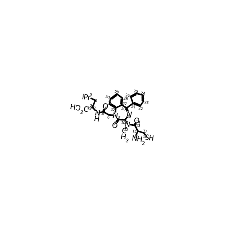 CC(C)C[C@H](NC(=O)CN1C(=O)C(N(C)C(=O)C(N)CS)N=C(c2ccccc2)c2ccccc21)C(=O)O